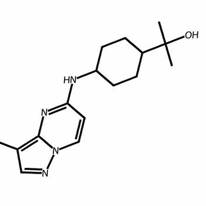 Cc1cnn2ccc(NC3CCC(C(C)(C)O)CC3)nc12